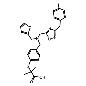 Cc1ccc(Cc2noc(CN(Cc3ccc(SC(C)(C)C(=O)O)cc3)Cc3ccco3)n2)cc1